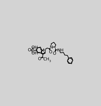 CC(=O)c1cn(CC(=O)N2CCC[C@H]2C(=O)NCCCCc2ccccc2)c2ccc(P(=O)(O)O)cc12